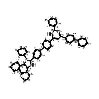 C1=C(c2ccc(-c3ccc(C4Nc5c(c6ccccc6c6ncccc56)N4c4ccccc4)cc3)cc2)NC(c2ccccc2)N=C1c1ccc(-c2ccccc2)cc1